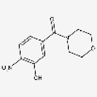 O=C(c1ccc([N+](=O)[O-])c(O)c1)N1CCOCC1